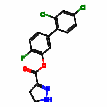 O=C(Oc1cc(-c2ccc(Cl)cc2Cl)ccc1F)C1=NNCC1